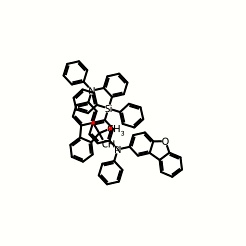 CC1(C)c2ccccc2-c2ccc(N(c3ccccc3)c3ccccc3[Si](c3ccccc3)(c3ccccc3)c3cccc(N(c4ccccc4)c4ccc5oc6ccccc6c5c4)c3)cc21